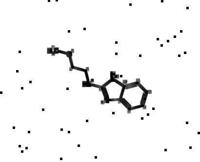 COCCNc1nc2ccccc2[nH]1